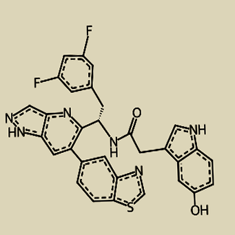 O=C(Cc1c[nH]c2ccc(O)cc12)N[C@@H](Cc1cc(F)cc(F)c1)c1nc2cn[nH]c2cc1-c1ccc2scnc2c1